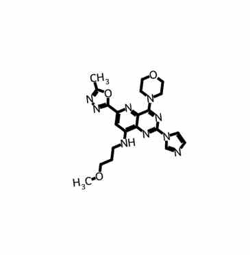 COCCCNc1cc(-c2nnc(C)o2)nc2c(N3CCOCC3)nc(-n3ccnc3)nc12